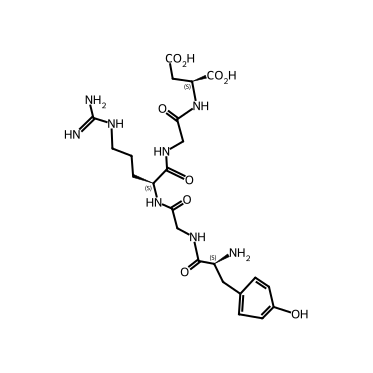 N=C(N)NCCC[C@H](NC(=O)CNC(=O)[C@@H](N)Cc1ccc(O)cc1)C(=O)NCC(=O)N[C@@H](CC(=O)O)C(=O)O